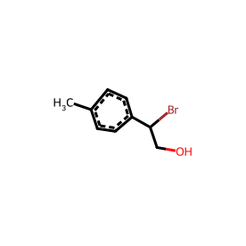 Cc1ccc(C(Br)CO)cc1